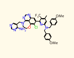 COc1ccc(CN(Cc2ccc(OC)cc2)c2cc(C)c(C(F)(F)F)c(-c3cc4ncnc5c4c(c3Cl)OCCN5Cc3cncnc3N)n2)cc1